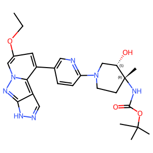 CCOc1cc(-c2ccc(N3CC[C@@](C)(NC(=O)OC(C)(C)C)[C@@H](O)C3)nc2)c2c3cn[nH]c3nn2c1